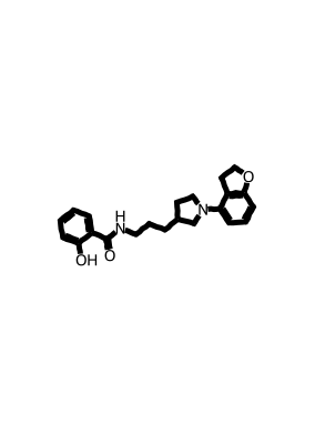 O=C(NCCCC1CCN(c2cccc3c2CCO3)C1)c1ccccc1O